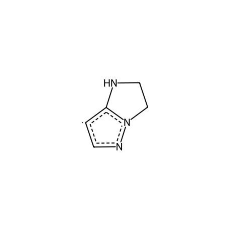 [c]1cnn2c1NCC2